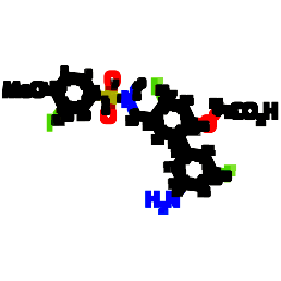 COc1ccc(S(=O)(=O)N(C)Cc2cc(-c3cc(N)cc(F)c3)c(OCC(=O)O)cc2F)cc1F